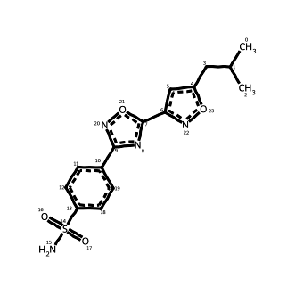 CC(C)Cc1cc(-c2nc(-c3ccc(S(N)(=O)=O)cc3)no2)no1